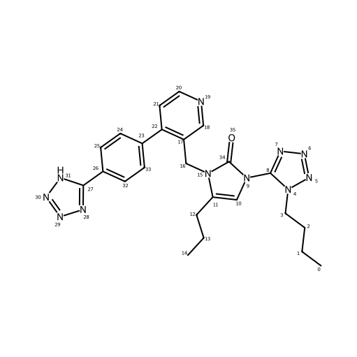 CCCCn1nnnc1-n1cc(CCC)n(Cc2cnccc2-c2ccc(-c3nnn[nH]3)cc2)c1=O